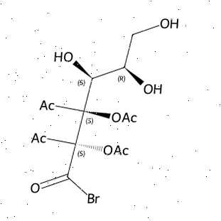 CC(=O)O[C@@](C(C)=O)(C(=O)Br)[C@](OC(C)=O)(C(C)=O)[C@@H](O)[C@H](O)CO